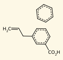 C=CCc1cccc(C(=O)O)c1.c1ccccc1